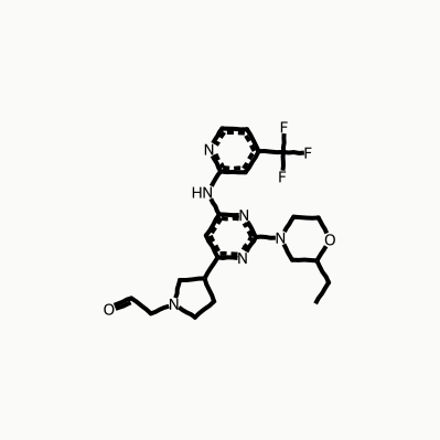 CCC1CN(c2nc(Nc3cc(C(F)(F)F)ccn3)cc(C3CCN(CC=O)C3)n2)CCO1